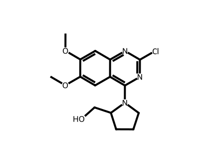 COc1cc2nc(Cl)nc(N3CCCC3CO)c2cc1OC